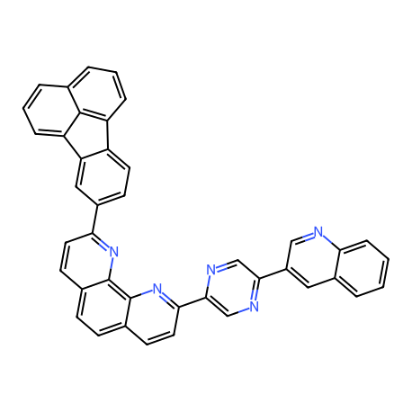 c1ccc2ncc(-c3cnc(-c4ccc5ccc6ccc(-c7ccc8c(c7)-c7cccc9cccc-8c79)nc6c5n4)cn3)cc2c1